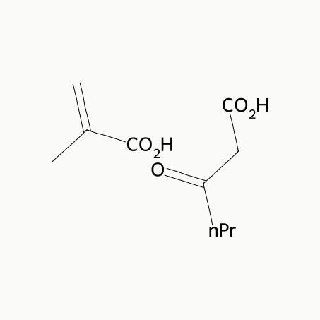 C=C(C)C(=O)O.CCCC(=O)CC(=O)O